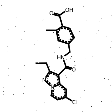 CCc1nn2ccc(Cl)cc2c1C(=O)NCc1ccc(C(=O)O)c(C)c1